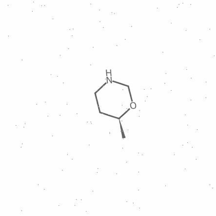 C[C@H]1CCNCO1